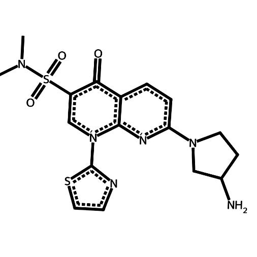 CN(C)S(=O)(=O)c1cn(-c2nccs2)c2nc(N3CCC(N)C3)ccc2c1=O